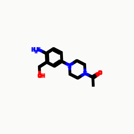 CC(=O)N1CCN(c2ccc(N)c(CO)c2)CC1